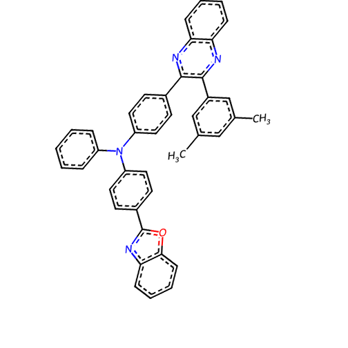 Cc1cc(C)cc(-c2nc3ccccc3nc2-c2ccc(N(c3ccccc3)c3ccc(-c4nc5ccccc5o4)cc3)cc2)c1